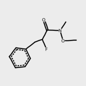 CON(C)C(=O)C(F)Cc1ccccc1